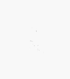 CC/C=C\CCC(=O)N(C)C(N)=O